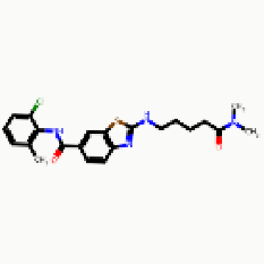 Cc1cccc(Cl)c1NC(=O)c1ccc2nc(NCCCCC(=O)N(C)C)sc2c1